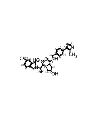 Cc1ncsc1-c1ccc(CNC(=O)[C@@H]2C[C@@H](O)CN2C(=O)[C@H](C(C)C)N2Cc3ccc(Cl)cc3C2O)cc1